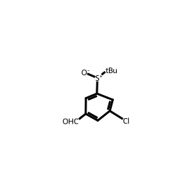 CC(C)(C)[S+]([O-])c1cc(Cl)cc(C=O)c1